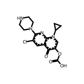 O=C(O)Oc1cn(C2CC2)c2nc(N3CCNCC3)c(Cl)cc2c1=O